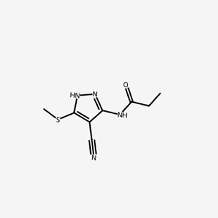 CCC(=O)Nc1n[nH]c(SC)c1C#N